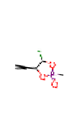 C#CC1OP(C)(=O)OC1F